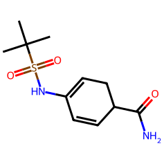 CC(C)(C)S(=O)(=O)NC1=CCC(C(N)=O)C=C1